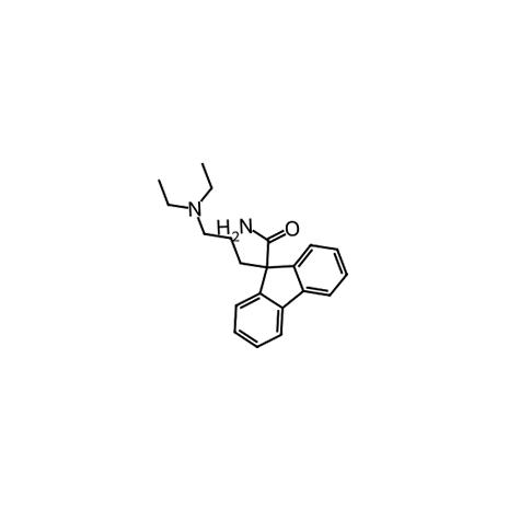 CCN(CC)CCCC1(C(N)=O)c2ccccc2-c2ccccc21